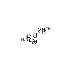 N#Cc1nc(C(=O)NCc2ccc(-n3c(-c4cccnc4N)nc4cccnc43)cc2)cs1